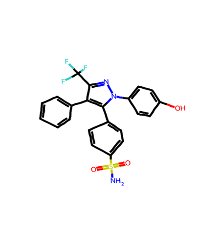 NS(=O)(=O)c1ccc(-c2c(-c3ccccc3)c(C(F)(F)F)nn2-c2ccc(O)cc2)cc1